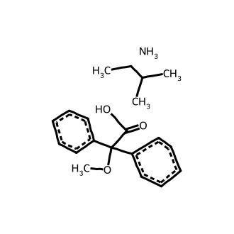 CCC(C)C.COC(C(=O)O)(c1ccccc1)c1ccccc1.N